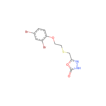 O=c1[nH]nc(CSCCOc2ccc(Br)cc2Br)o1